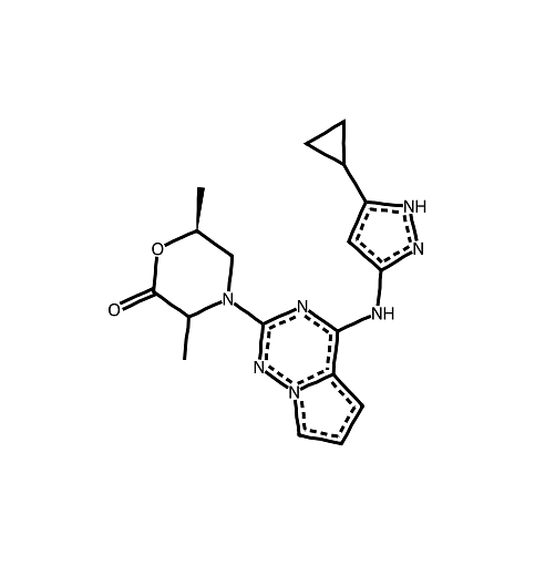 CC1C(=O)O[C@@H](C)CN1c1nc(Nc2cc(C3CC3)[nH]n2)c2cccn2n1